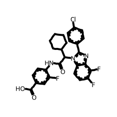 O=C(O)c1ccc(NC(=O)C(C2CCCCC2)n2c(-c3ccc(Cl)cc3)nc3c(F)c(F)ccc32)c(F)c1